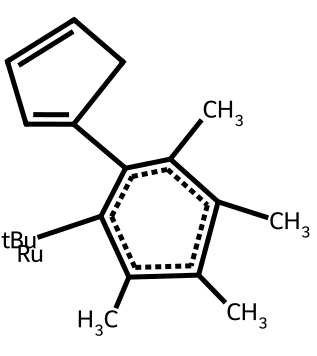 Cc1c(C)c(C)c(C(C)(C)C)c(C2=CC=CC2)c1C.[Ru]